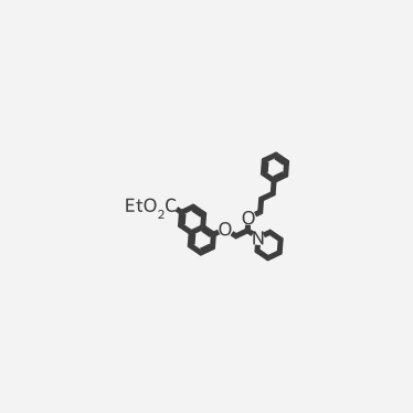 CCOC(=O)c1ccc2c(OCC(OCCCc3ccccc3)N3CCCCC3)cccc2c1